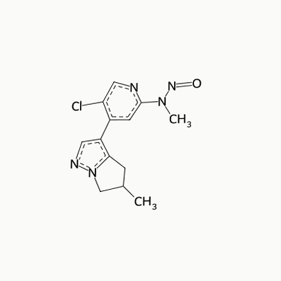 CC1Cc2c(-c3cc(N(C)N=O)ncc3Cl)cnn2C1